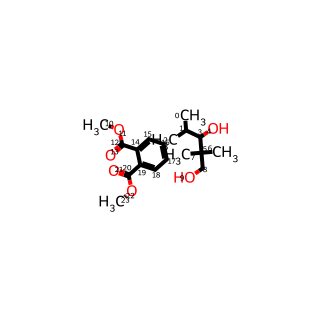 CC(C)C(O)C(C)(C)CO.COC(=O)c1ccccc1C(=O)OC